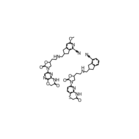 COc1cc2c(c(C#N)n1)CC(CNCCC1CN(c3cnc4c(n3)NC(=O)CO4)C(=O)O1)C2.N#Cc1cccc2c1CC(CNCCC1CN(c3ccc4c(n3)NC(=O)CS4)C(=O)O1)C2